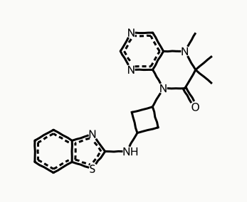 CN1c2cncnc2N(C2CC(Nc3nc4ccccc4s3)C2)C(=O)C1(C)C